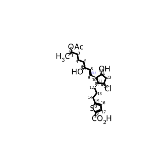 CC(=O)O[C@H](C)CCC[C@H](O)/C=C/[C@@H]1[C@@H](CCCc2ccc(C(=O)O)s2)[C@H](Cl)C[C@H]1O